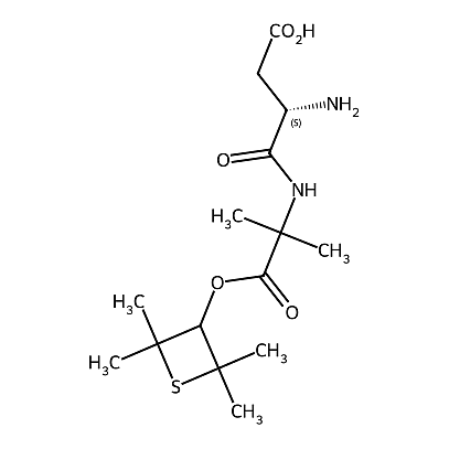 CC(C)(NC(=O)[C@@H](N)CC(=O)O)C(=O)OC1C(C)(C)SC1(C)C